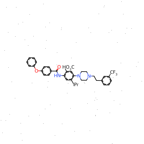 CC(C)c1cc(NC(=O)c2ccc(Oc3ccccc3)cc2)c(C(=O)O)cc1N1CCN(CCc2cccc(C(F)(F)F)c2)CC1